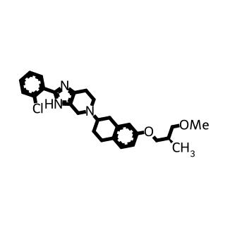 COC[C@@H](C)COc1ccc2c(c1)CC(N1CCc3nc(-c4ccccc4Cl)[nH]c3C1)CC2